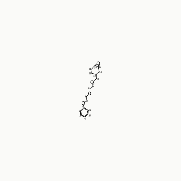 c1ccc(OCCOCCOCC2CCC3OC3C2)cc1